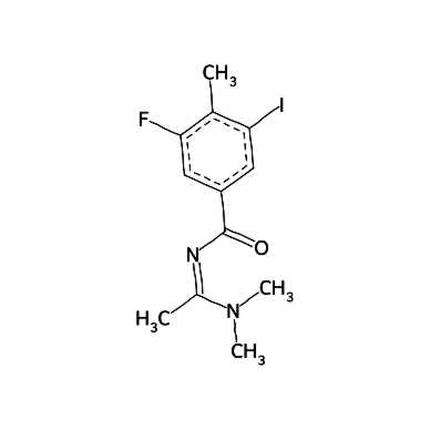 CC(=NC(=O)c1cc(F)c(C)c(I)c1)N(C)C